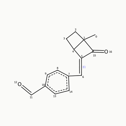 CC12CCC1/C(=C\c1ccc(C=O)cc1)C2=O